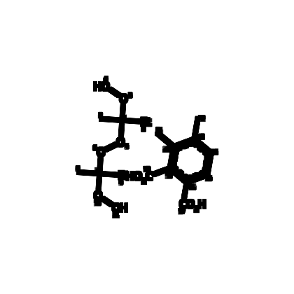 CCC(C)(OO)OOC(C)(CC)OO.Cc1ccc(C(=O)O)c(C(=O)O)c1C